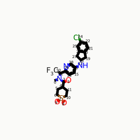 CN(C(=O)C1CCS(=O)(=O)CC1)C(c1ccc(N[C@H]2Cc3ccc(Cl)cc3C2)cn1)C(F)(F)F